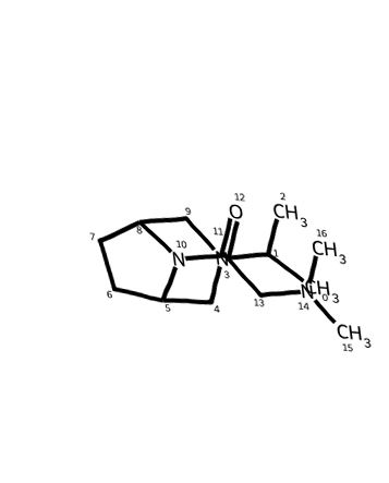 CC(C)N1CC2CCC(C1)N2C(=O)CN(C)C